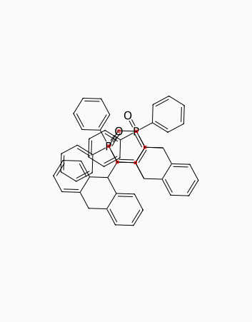 O=P(C1=C(C(C2c3ccccc3Cc3ccccc32)P(=O)(c2ccccc2)c2ccccc2)C2c3ccccc3C1c1ccccc12)(c1ccccc1)c1ccccc1